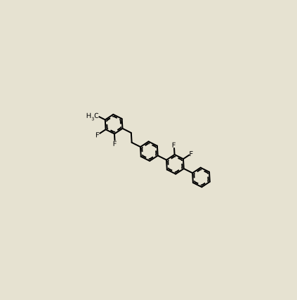 Cc1ccc(CCc2ccc(-c3ccc(-c4ccccc4)c(F)c3F)cc2)c(F)c1F